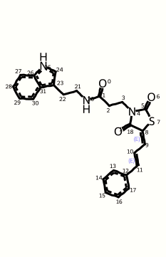 O=C(CCN1C(=O)S/C(=C/C=C/c2ccccc2)C1=O)NCCc1c[nH]c2ccccc12